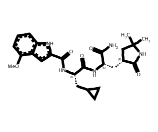 COc1cccc2[nH]c(C(=O)N[C@@H](CC3CC3)C(=O)N[C@@H](C[C@@H]3CC(C)(C)NC3=O)C(N)=O)cc12